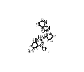 FC(F)(F)Oc1cc(Br)ccc1NC(=S)Nc1ccccc1-c1nc2ncccc2o1